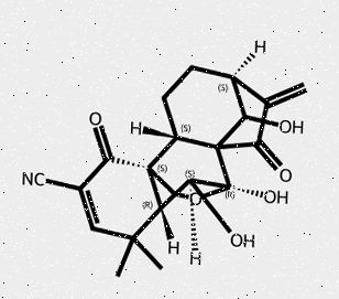 C=C1C(=O)C23C(O)[C@H]1CC[C@H]2[C@@]12CO[C@@]3(O)[C@@H](O)[C@@H]1C(C)(C)C=C(C#N)C2=O